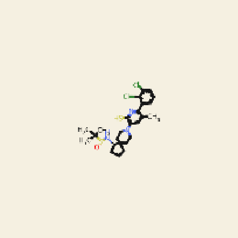 Cc1cc(N2CCC3(CCC[C@H]3N[S+]([O-])C(C)(C)C)CC2)c(S)nc1-c1cccc(Cl)c1Cl